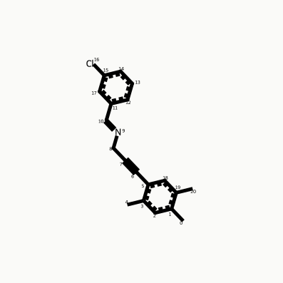 Cc1cc(C)c(C#CC/N=C/c2cccc(Cl)c2)cc1C